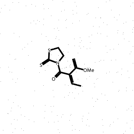 C=C(OC)/C(=C\C)C(=O)N1CCSC1=S